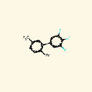 CC(C)c1ccc(C(F)(F)F)cc1-c1cc(F)c(F)c(F)c1